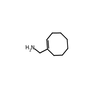 NCC1=CCCCCCC1